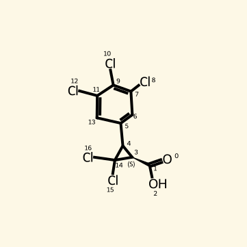 O=C(O)[C@@H]1C(c2cc(Cl)c(Cl)c(Cl)c2)C1(Cl)Cl